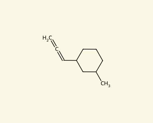 C=C=CC1CCCC(C)C1